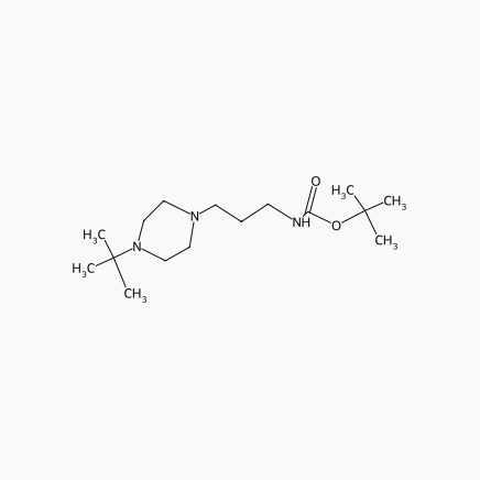 CC(C)(C)OC(=O)NCCCN1CCN(C(C)(C)C)CC1